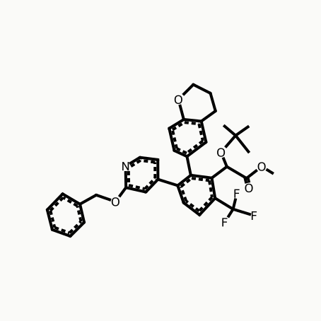 COC(=O)C(OC(C)(C)C)c1c(C(F)(F)F)ccc(-c2ccnc(OCc3ccccc3)c2)c1-c1ccc2c(c1)CCCO2